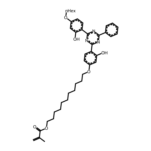 C=C(C)C(=O)OCCCCCCCCCCCOc1ccc(-c2nc(-c3ccccc3)nc(-c3ccc(OCCCCCC)cc3O)n2)c(O)c1